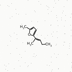 CC/C=C(\C)c1ccc(C)o1